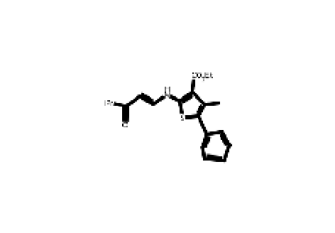 CCOC(=O)c1c(NC=CC(=O)C(C)C)sc(-c2ccccc2)c1C